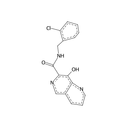 O=C(NCc1ccccc1Cl)c1ncc2cccnc2c1O